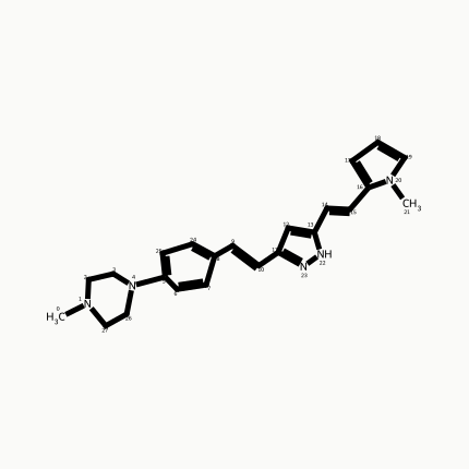 CN1CCN(c2ccc(C=Cc3cc(C=Cc4cccn4C)[nH]n3)cc2)CC1